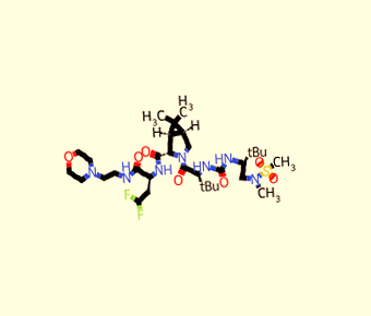 CN(C[C@@H](NC(=O)N[C@H](C(=O)N1C[C@H]2[C@@H]([C@H]1C(=O)N[C@@H](CC(F)F)C(=O)NCCN1CCOCC1)C2(C)C)C(C)(C)C)C(C)(C)C)S(C)(=O)=O